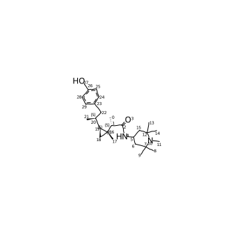 C[C@H](C(=O)NC1CC(C)(C)N(C)C(C)(C)C1)[C@]1(C)C[C@H]1[C@@H](C)Cc1ccc(O)cc1